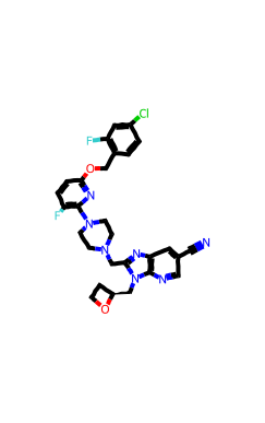 N#Cc1cnc2c(c1)nc(CN1CCN(c3nc(OCc4ccc(Cl)cc4F)ccc3F)CC1)n2C[C@@H]1CCO1